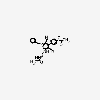 CC(=O)NCCNc1nc(SCc2ccccc2)c(C#N)c(-c2ccc(NC(C)=O)cc2)c1C#N